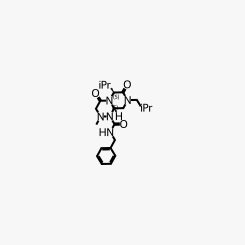 CC(C)CN1C[C@H]2N(C(=O)CN(C)N2C(=O)NCc2ccccc2)[C@@H](C(C)C)C1=O